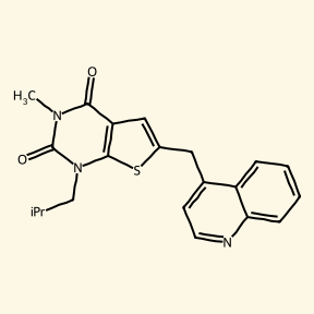 CC(C)Cn1c(=O)n(C)c(=O)c2cc(Cc3ccnc4ccccc34)sc21